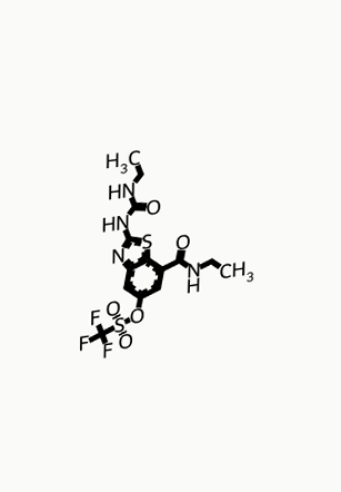 CCNC(=O)Nc1nc2cc(OS(=O)(=O)C(F)(F)F)cc(C(=O)NCC)c2s1